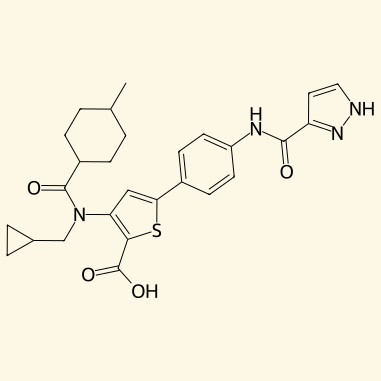 CC1CCC(C(=O)N(CC2CC2)c2cc(-c3ccc(NC(=O)c4cc[nH]n4)cc3)sc2C(=O)O)CC1